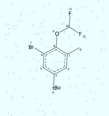 Cc1cc(C(C)(C)C)cc(Br)c1OC(F)F